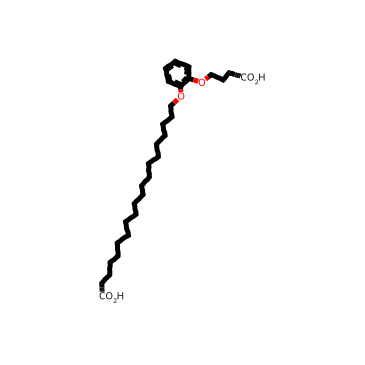 O=C(O)CCCCCCCCCCCCCCCCCCCOc1ccccc1OCCCC(=O)O